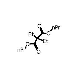 CCCOC(=O)C(CC)(CC)C(=O)OCCC